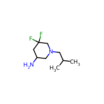 C[C](C)CN1CC(N)CC(F)(F)C1